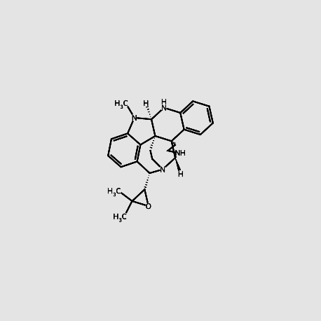 CN1c2cccc3c2[C@]24CCN([C@H]5NCC[C@]52c2ccccc2N[C@H]14)[C@@H]3C1OC1(C)C